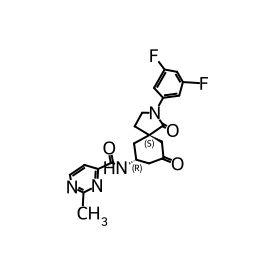 Cc1nccc(C(=O)N[C@H]2CC(=O)C[C@]3(CCN(c4cc(F)cc(F)c4)C3=O)C2)n1